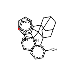 Oc1ccccc1C12CC3CC(C1)CC(c1ccccc1O)(C3)C2(c1ccccc1O)c1ccccc1O